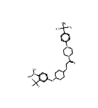 CC(C)(C)c1ccc(N2CCN(C(=O)COC3CCC(Oc4ccc(N(O)O)c(C(F)(F)F)c4)CC3)CC2)cc1